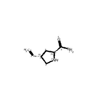 C=C[C@H]1CN[C@H](C(N)=O)C1